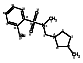 CC1CCN(CN(C)S(=O)(=O)c2ccccc2C(C)(C)C)C1